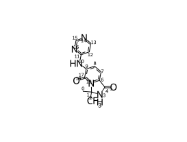 CC1(C(F)(F)F)NC(=O)c2ccc(Nc3ccncn3)c(=O)n21